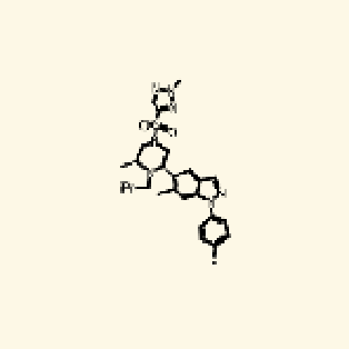 Cc1cc2c(cnn2-c2ccc(F)cc2)cc1[C@@H]1CN(S(=O)(=O)c2cnn(C)n2)C[C@H](C)N1CC(C)C